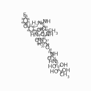 C[C@H](O)[C@H](O)[C@@H](O)[C@@H](O)CNCC(=O)NCCOC[C@@]12C[C@@H]1N(C(=O)CNC(=O)c1ccc(Oc3ccc(F)cc3)cc1)[C@H](C(=O)N[C@H](C)c1cc(C(=N)N)cs1)C2